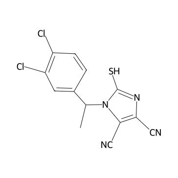 CC(c1ccc(Cl)c(Cl)c1)n1c(S)nc(C#N)c1C#N